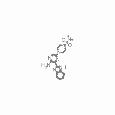 CN(C)S(=O)(=O)N1CCN(c2cnc(N)c(-c3nc4ccccc4[nH]3)n2)CC1